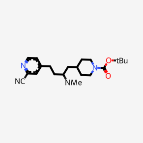 CNC(CCc1ccnc(C#N)c1)CC1CCN(C(=O)OC(C)(C)C)CC1